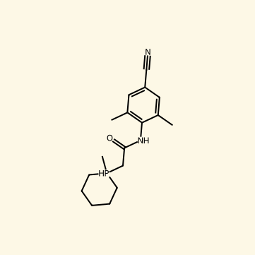 Cc1cc(C#N)cc(C)c1NC(=O)C[PH]1(C)CCCCC1